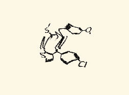 COc1ccc(CN2N=C(c3ccc(Cl)cc3)c3ccsc3N=C2SC)cc1